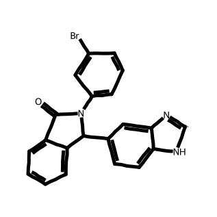 O=C1c2ccccc2C(c2ccc3[nH][c]nc3c2)N1c1cccc(Br)c1